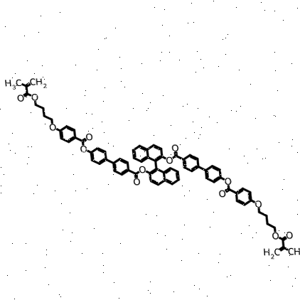 C=C(C)C(=O)OCCCCOc1ccc(C(=O)Oc2ccc(-c3ccc(C(=O)Oc4ccc5ccccc5c4-c4c(OC(=O)c5ccc(-c6ccc(OC(=O)c7ccc(OCCCCOC(=O)C(=C)C)cc7)cc6)cc5)ccc5ccccc45)cc3)cc2)cc1